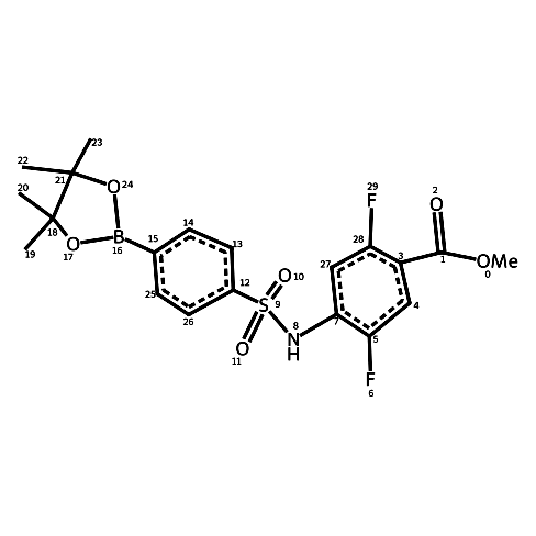 COC(=O)c1cc(F)c(NS(=O)(=O)c2ccc(B3OC(C)(C)C(C)(C)O3)cc2)cc1F